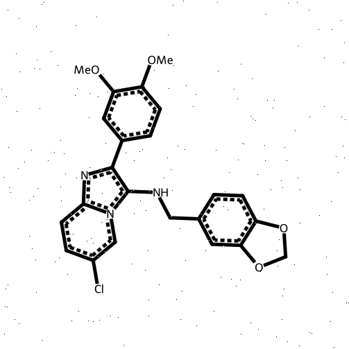 COc1ccc(-c2nc3ccc(Cl)cn3c2NCc2ccc3c(c2)OCO3)cc1OC